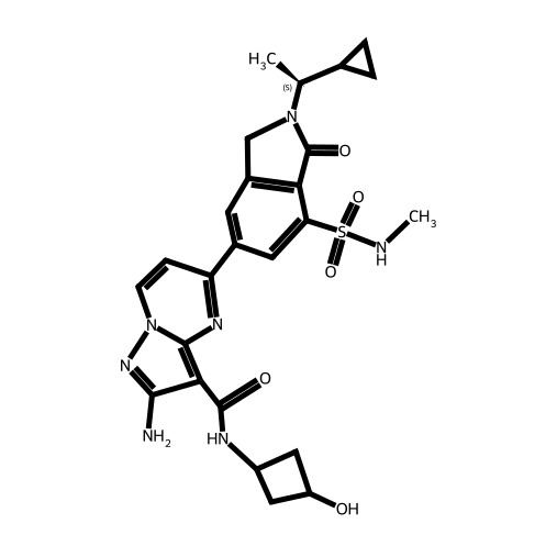 CNS(=O)(=O)c1cc(-c2ccn3nc(N)c(C(=O)NC4CC(O)C4)c3n2)cc2c1C(=O)N([C@@H](C)C1CC1)C2